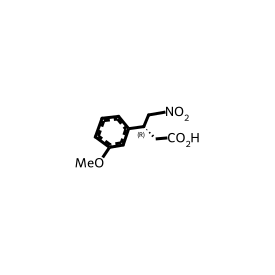 COc1cccc([C@@H](CC(=O)O)C[N+](=O)[O-])c1